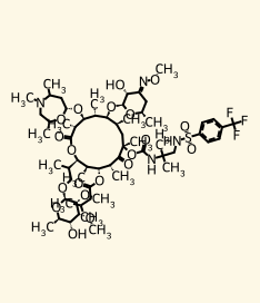 CON=C1C[C@@H](C)O[C@@H](O[C@@H]2[C@@H](C)[C@H](O[C@H]3CC(C)N(C)C[C@H](C)O3)[C@@H](C)C(=O)O[C@H](C(C)CO[C@@H]3O[C@H](C)[C@@H](O)[C@@H](OC)[C@H]3OC)[C@H](C)[C@@H](OC(=O)CC(C)C)[C@@H](C)C(=O)[C@@](C)(OC(=O)NC(C)(C)CNS(=O)(=O)c3ccc(C(F)(F)F)cc3)C[C@@H]2C)[C@@H]1O